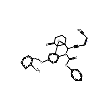 C#C/C=C\C#CC1N(C(=O)Oc2ccccc2)c2ccc(OCc3ccccc3[N+](=O)[O-])cc2C23OC12CCCC3=O